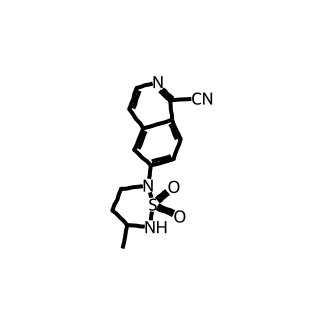 CC1CCN(c2ccc3c(C#N)nccc3c2)S(=O)(=O)N1